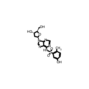 Cc1ccc(O)cc1S(=O)(=O)Nc1ncnc2c1ncn2[C@H]1C[C@H](O)[C@@H](CO)O1